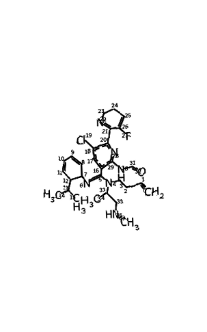 C=CCCN(/C(=N/C1C=CC=CC1C(C)C)c1cc(Cl)c(C2=NCCC=C2F)nc1NC=O)C(C)CNC